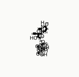 C#C[C@@]1(O)[C@H](O)[C@@H](CO[P@](O)(=S)OP(=O)(O)OP(=O)(O)O)O[C@H]1N1C=CC(=O)NC1=C